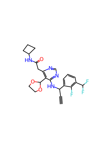 C#CC(Nc1ncnc(CC(=O)NC2CCC2)c1C1OCCO1)c1cccc(C(F)F)c1F